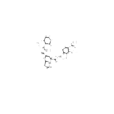 Cc1c(C(=O)O)ccc2c1CC[C@@H]2NC(=O)c1cc(C(=O)N[C@H](CO)c2ccccc2)nc2ccnn12